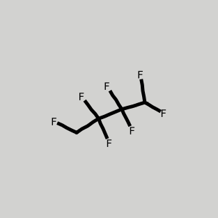 FCC(F)(F)C(F)(F)[C](F)F